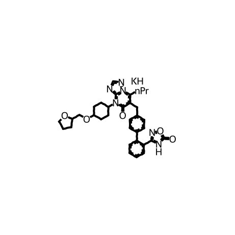 CCCc1c(Cc2ccc(-c3ccccc3-c3noc(=O)[nH]3)cc2)c(=O)n(C2CCC(OCC3CCCO3)CC2)c2ncnn12.[KH]